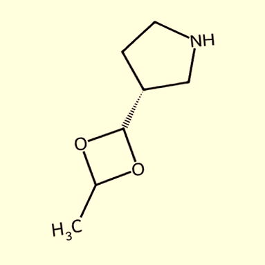 CC1OC([C@@H]2CCNC2)O1